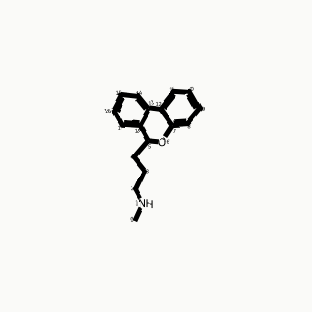 CNCCCC1Oc2ccccc2-c2ccccc21